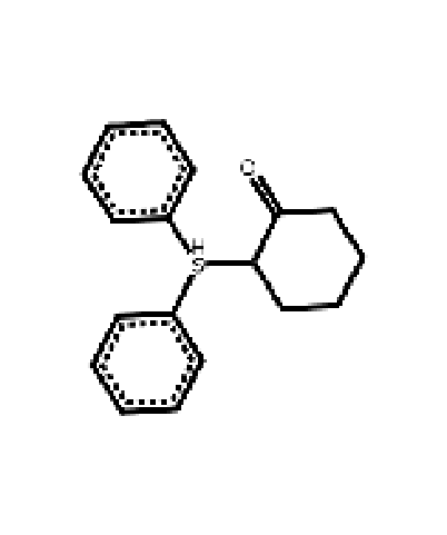 O=C1CCCCC1[SH](c1ccccc1)c1ccccc1